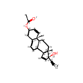 CC(=O)OC1C=C[C@@]2(C)C(=CCC3C2CC[C@@]2(C)C3C=C[C@@]2(O)[C]#[Cr])C1